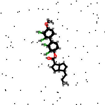 CCCC1CCC2C(C(=O)Oc3ccc(-c4ccc(OC)c(F)c4F)c(F)c3F)CCC12